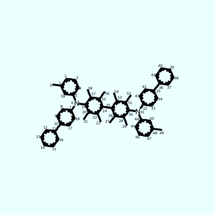 Cc1cccc(N(c2ccc(-c3ccccc3)cc2)c2c(C)c(C)c(-c3c(C)c(C)c(N(c4ccc(-c5ccccc5)cc4)c4cccc(C)c4)c(C)c3C)c(C)c2C)c1